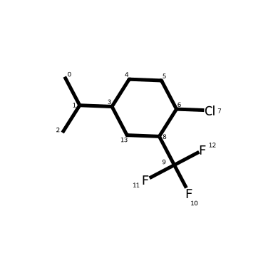 CC(C)C1CCC(Cl)C(C(F)(F)F)C1